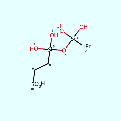 CCC[Si](O)(O)O[Si](O)(O)CCS(=O)(=O)O